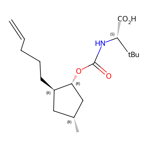 C=CCCC[C@@H]1C[C@@H](C)C[C@H]1OC(=O)N[C@H](C(=O)O)C(C)(C)C